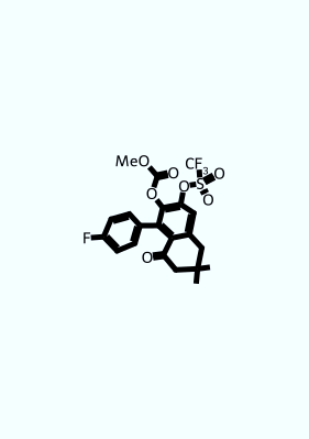 COC(=O)Oc1c(OS(=O)(=O)C(F)(F)F)cc2c(c1-c1ccc(F)cc1)C(=O)CC(C)(C)C2